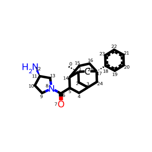 C[C@]12CC3CC(C(=O)N4CC[C@@H](N)C4)C1CC[C@@](c1ccccc1)(C3)C2